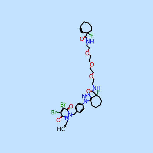 C#CCn1c(=O)c(Br)c(Br)c(=O)n1Cc1ccc(-n2nnc3c2CCCCCC3(F)C(=O)NCCOCCOCCOCCNC(=O)C2(F)C#CCCCCC2)cc1